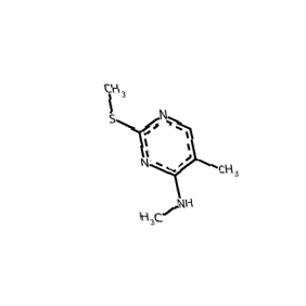 CNc1nc(SC)ncc1C